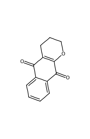 O=C1C2=C(OCCC2)C(=O)c2ccccc21